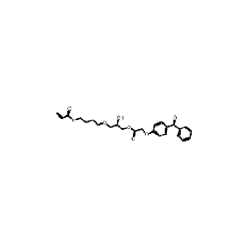 C=CC(=O)OCCCCOCC(O)COC(=O)COc1ccc(C(=O)c2ccccc2)cc1